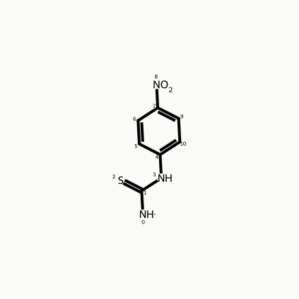 [NH]C(=S)Nc1ccc([N+](=O)[O-])cc1